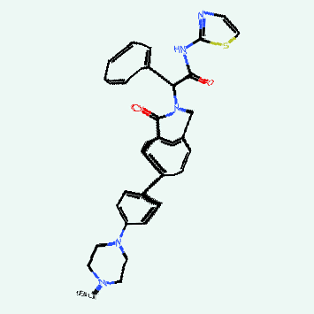 CC(C)(C)N1CCN(c2ccc(-c3ccc4c(c3)C(=O)N(C(C(=O)Nc3nccs3)c3ccccc3)C4)cc2)CC1